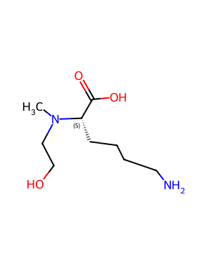 CN(CCO)[C@@H](CCCCN)C(=O)O